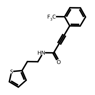 O=C(C#Cc1ccccc1C(F)(F)F)NCCc1cccs1